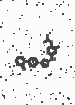 Cc1cc(N[C@H]2CC[C@H](c3ccc(-n4ccccc4=O)cn3)C2)ncc1OC(F)F